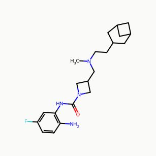 CN(CCC1CC2CC(C1)C2)CC1CN(C(=O)Nc2cc(F)ccc2N)C1